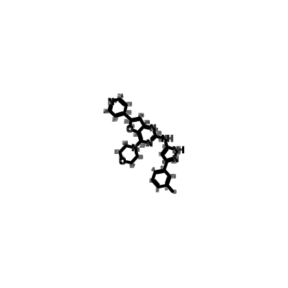 Cc1cccc(-c2cc(Nc3nc(N4CCOCC4)c4oc(-c5ccncc5)cc4n3)[nH]n2)c1